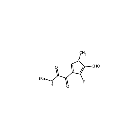 Cn1cc(C(=O)C(=O)NC(C)(C)C)c(F)c1C=O